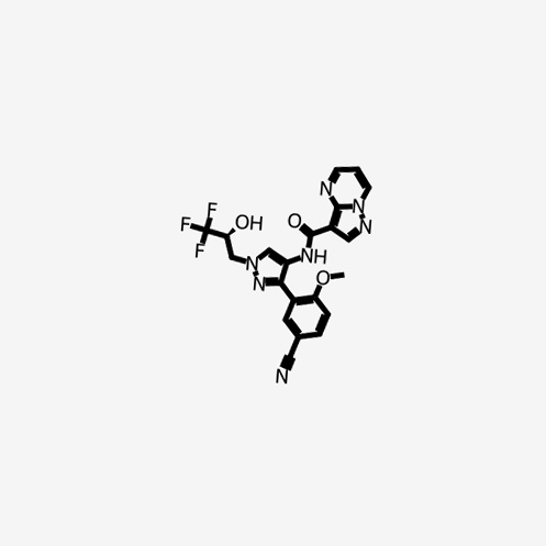 COc1ccc(C#N)cc1-c1nn(C[C@H](O)C(F)(F)F)cc1NC(=O)c1cnn2cccnc12